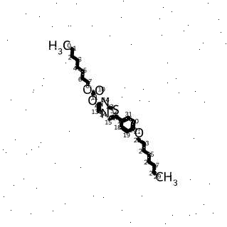 CCCCCCCCOC(=O)Oc1cn2cc(-c3ccc(OCCCCCCCC)cc3)sc2n1